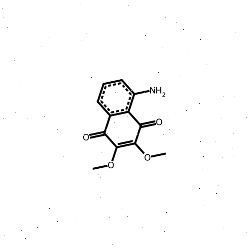 COC1=C(OC)C(=O)c2c(N)cccc2C1=O